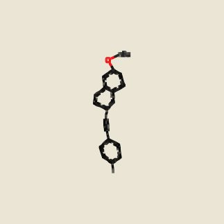 CCCCOc1ccc2cc(C#Cc3ccc(C)cc3)ccc2c1